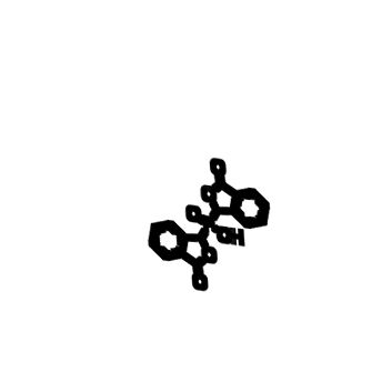 O=C1OC(P(=O)(O)C2OC(=O)c3ccccc32)c2ccccc21